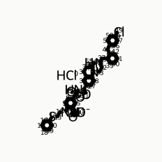 Cl.O=C(NS(=O)(=O)c1ccc(NCCSc2ccccc2)c([N+](=O)[O-])c1)c1ccc2c(c1)CC[C@@H]1CN(Cc3ccccc3Cc3ccc(Cl)cc3)CCN21